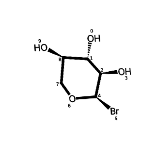 O[C@@H]1[C@@H](O)[C@@H](Br)OC[C@H]1O